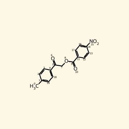 Cc1ccc(C(=O)COC(=O)c2ccc([N+](=O)[O-])cc2)cc1